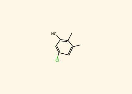 Cc1cc(Cl)cc(C#N)c1C